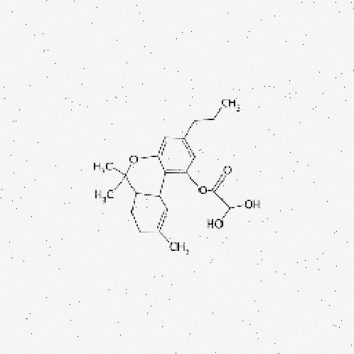 CCCc1cc(OC(=O)C(O)O)c2c(c1)OC(C)(C)C1CCC(C)=CC21